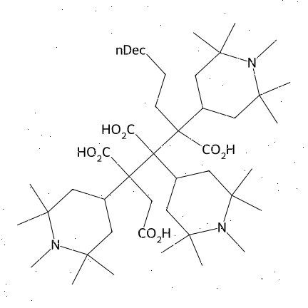 CCCCCCCCCCCCC(C(=O)O)(C1CC(C)(C)N(C)C(C)(C)C1)C(C(=O)O)(C1CC(C)(C)N(C)C(C)(C)C1)C(CC(=O)O)(C(=O)O)C1CC(C)(C)N(C)C(C)(C)C1